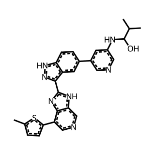 Cc1ccc(-c2cncc3[nH]c(-c4n[nH]c5ccc(-c6cncc(NC(O)C(C)C)c6)cc45)nc23)s1